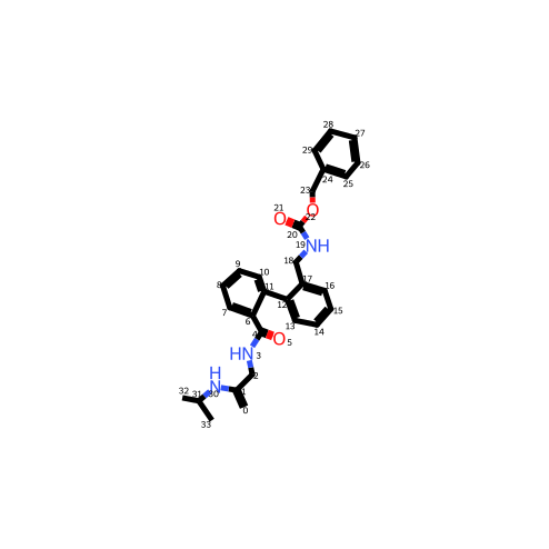 C=C(CNC(=O)c1ccccc1-c1ccccc1CNC(=O)OCc1ccccc1)NC(C)C